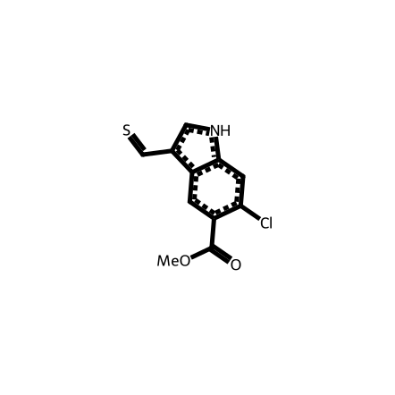 COC(=O)c1cc2c(C=S)c[nH]c2cc1Cl